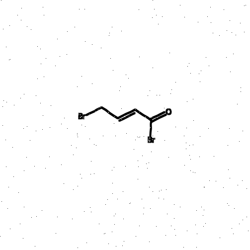 O=C(Br)C=CCBr